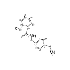 O=C(NCc1ccc(CO)cc1)c1ccncc1Cl